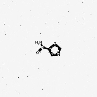 N[N+](=O)c1cn[c]s1